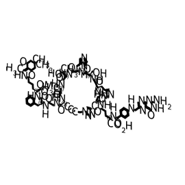 COC(=O)[C@H](CCCCNC(C)=C1C(=O)CC(C)(C)CC1=O)NC(=O)[C@H](Cc1ccccc1)NC(=O)CNC(=O)[C@@H]1CCCCn2cc(nn2)C[C@H](NC(=O)CC[C@H](NC(=O)c2ccc(NCc3cnc4nc(N)[nH]c(=O)c4n3)cc2)C(=O)O)C(=O)N[C@H](Cc2cnc[nH]2)C(=O)N[C@H](CO)C(=O)N[C@H](Cc2cnc[nH]2)C(=O)N[C@H]([C@H](C)O)C(=O)N[C@H](C)C(=O)N1